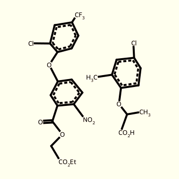 CCOC(=O)COC(=O)c1cc(Oc2ccc(C(F)(F)F)cc2Cl)ccc1[N+](=O)[O-].Cc1cc(Cl)ccc1OC(C)C(=O)O